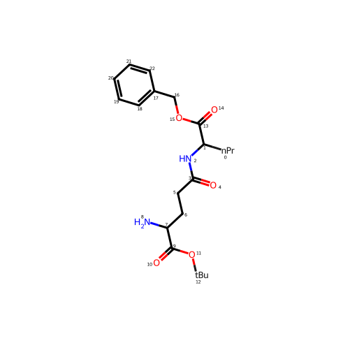 CCCC(NC(=O)CCC(N)C(=O)OC(C)(C)C)C(=O)OCc1ccccc1